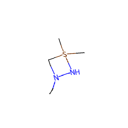 CN1CS(C)(C)N1